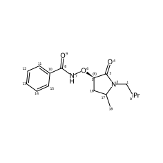 CC(C)CN1C(=O)[C@H](ONC(=O)c2ccccc2)CC1C